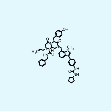 C=CCN1CC(=O)N2[C@@H](Cc3ccc(O)cc3)C(=O)N(Cc3cccc4c(-c5ccc(NC(=O)NC6CCCC6)cc5)cn(C)c34)C[C@@H]2N1C(=O)NCc1ccccc1